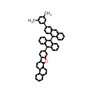 Cc1cc(C)cc(-c2ccc3c(-c4c5ccccc5c(-c5ccc6c(c5)oc5c6ccc6c7ccccc7ccc65)c5ccccc45)c4ccccc4cc3c2)c1